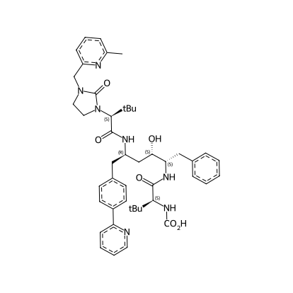 Cc1cccc(CN2CCN([C@H](C(=O)N[C@H](Cc3ccc(-c4ccccn4)cc3)C[C@H](O)[C@H](Cc3ccccc3)NC(=O)[C@@H](NC(=O)O)C(C)(C)C)C(C)(C)C)C2=O)n1